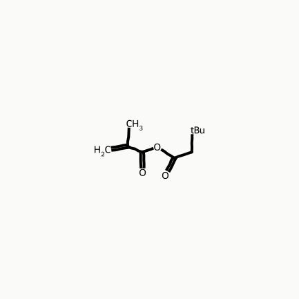 C=C(C)C(=O)OC(=O)CC(C)(C)C